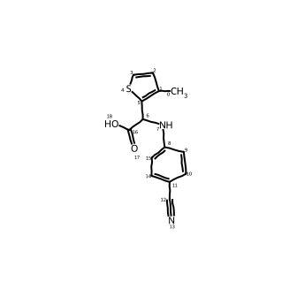 Cc1ccsc1C(Nc1ccc(C#N)cc1)C(=O)O